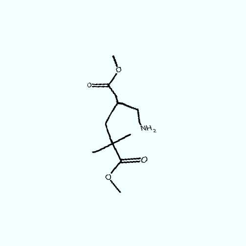 COC(=O)C(CN)CC(C)(C)C(=O)OC